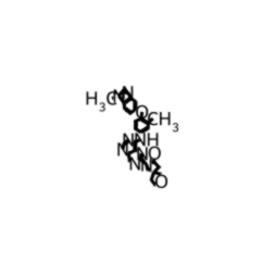 Cc1cc(Nc2ncnc3cnc(N4C[C@]5(CCOC5)CC4=O)nc23)ccc1Oc1ccc2c(c1)ncn2C